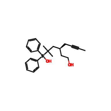 CC#CC[C@@H](CCO)CC(C)(C)[Si](O)(c1ccccc1)c1ccccc1